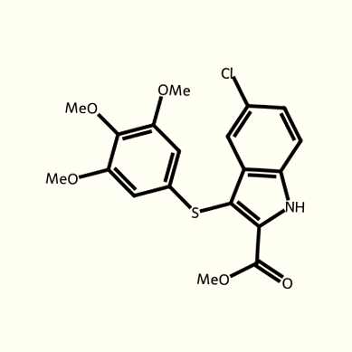 COC(=O)c1[nH]c2ccc(Cl)cc2c1Sc1cc(OC)c(OC)c(OC)c1